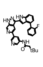 CC(C)(C)CC(=O)Nc1cncc(-c2cc3c(-c4cc5c(-c6ccccc6F)cccc5[nH]4)n[nH]c3cn2)c1